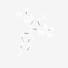 CC(C)c1c(OP(=O)(O)O)cc(-c2ccc3cc(F)ccc3n2)cc1OP(=O)(O)O